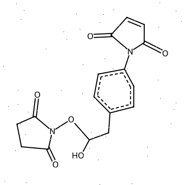 O=C1CCC(=O)N1OC(O)Cc1ccc(N2C(=O)C=CC2=O)cc1